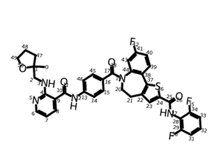 CC1(CNc2ncccc2C(=O)Nc2ccc(C(=O)N3CCc4cc(C(=O)Nc5c(F)cccc5F)sc4-c4ccc(F)cc43)cc2)CCCO1